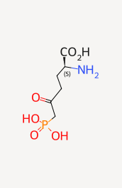 N[C@@H](CCC(=O)CP(=O)(O)O)C(=O)O